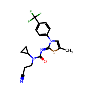 Cc1cn(-c2ccc(C(F)(F)F)cc2)/c(=N/C(=O)N(CCC#N)C2CC2)s1